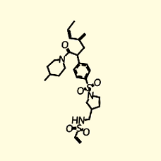 C=CS(=O)(=O)NCC1CCN(S(=O)(=O)c2ccc(C(CC(=C)/C=C\C)C(=O)N3CCC(C)CC3)cc2)C1